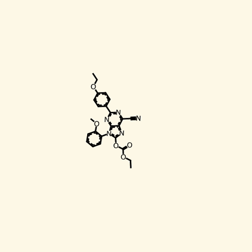 CCOC(=O)Oc1nc2c(C#N)nc(-c3ccc(OCC)cc3)nc2n1-c1ccccc1OC